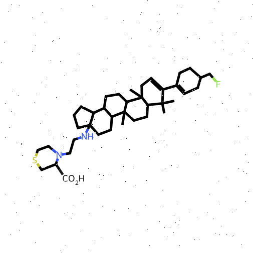 CC1(C)C(C2=CCC(CF)CC2)=CCC2(C)C1CCC1(C)C3CCC4(NCCN5CCSCC5C(=O)O)CCCC4C3CCC12